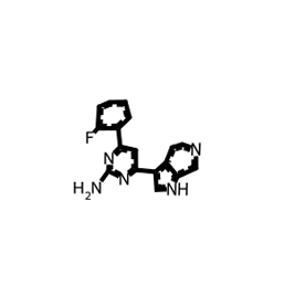 Nc1nc(-c2ccccc2F)cc(-c2c[nH]c3cnccc23)n1